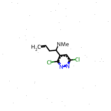 C=CCC(NC)c1cc(Cl)nnc1Cl